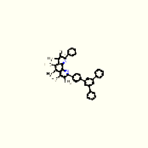 Cc1c(-c2ccccc2)nc2c(c1C)c(C)c(C)c1c(C)c(C)c(-c3ccc(-c4cc(-c5ccccc5)cc(-c5ccccc5)c4)cc3)nc12